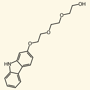 OCCOCCOCCOc1ccc2c(c1)[nH]c1ccccc12